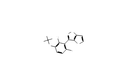 CC(C)c1ccc(OC(C)(C)O)c(N)c1-c1noc2ccsc12